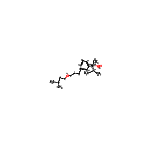 CC(C)CCOCCCc1cccc([Si](C)(O)C(C)C)c1